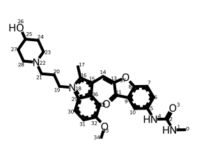 CNC(=O)Nc1ccc2c(c1)C(=O)C(=Cc1c(C)n(CCCN3CCC(O)CC3)c3ccc(OC)cc13)O2